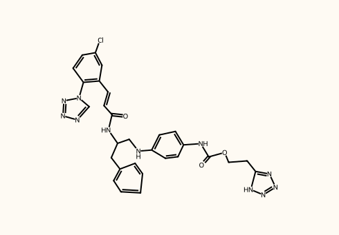 O=C(C=Cc1cc(Cl)ccc1-n1cnnn1)NC(CNc1ccc(NC(=O)OCCc2nnn[nH]2)cc1)Cc1ccccc1